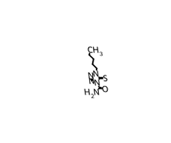 CCCCCn1nnn(C(N)=O)c1=S